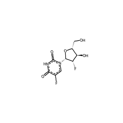 O=c1[nH]c(=O)n([C@@H]2O[C@H](CO)[C@@H](O)[C@@H]2F)cc1F